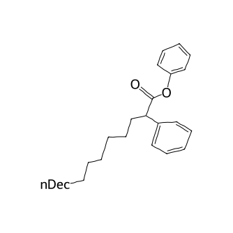 CCCCCCCCCCCCCCCCC(C(=O)Oc1ccccc1)c1ccccc1